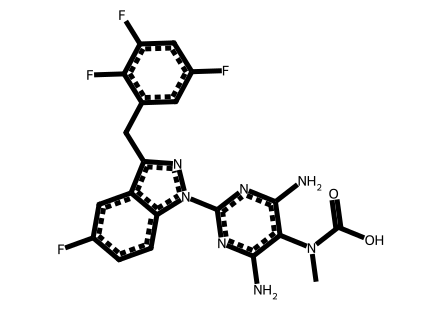 CN(C(=O)O)c1c(N)nc(-n2nc(Cc3cc(F)cc(F)c3F)c3cc(F)ccc32)nc1N